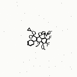 CCn1c(-c2ccccc2)c(C(=O)OC2CC2)c(=O)c2c([N+](=O)[O-])c(F)c(F)c(OC)c21